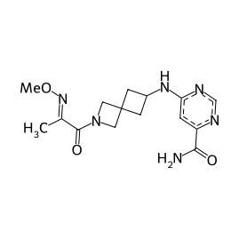 CON=C(C)C(=O)N1CC2(CC(Nc3cc(C(N)=O)ncn3)C2)C1